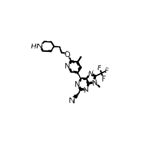 Cc1cc(-c2nc(C#N)nc3c2nc(C(F)(F)F)n3C)cnc1OCCC1CCNCC1